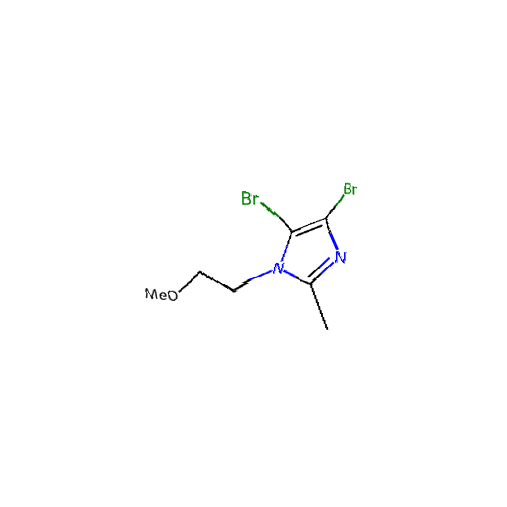 COCCn1c(C)nc(Br)c1Br